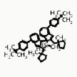 C[SiH](C)C1(C2C(CC3(C)CCCC3)=Cc3c(-c4ccc(C(C)(C)C)cc4)cccc32)C(CC2(C)CCCC2)=Cc2c(-c3ccc(C(C)(C)C)cc3)cccc21